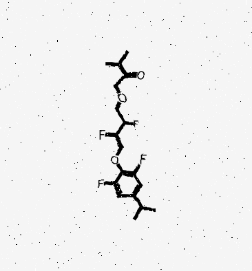 CC(C)C(=O)COCC(F)C(F)COc1c(F)cc(C(C)C)cc1F